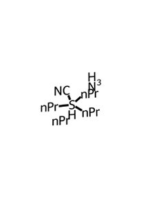 CCC[SH](C#N)(CCC)(CCC)CCC.N